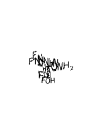 Nc1ccc(C(=O)Nc2ccn(C(F)F)n2)cn1.O=C(O)C(F)(F)F